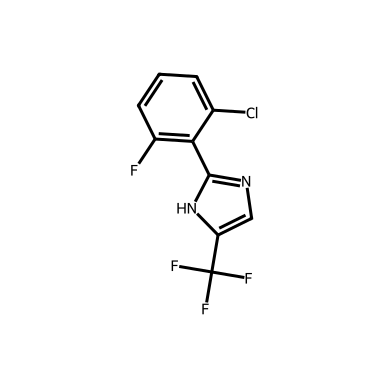 Fc1cccc(Cl)c1-c1ncc(C(F)(F)F)[nH]1